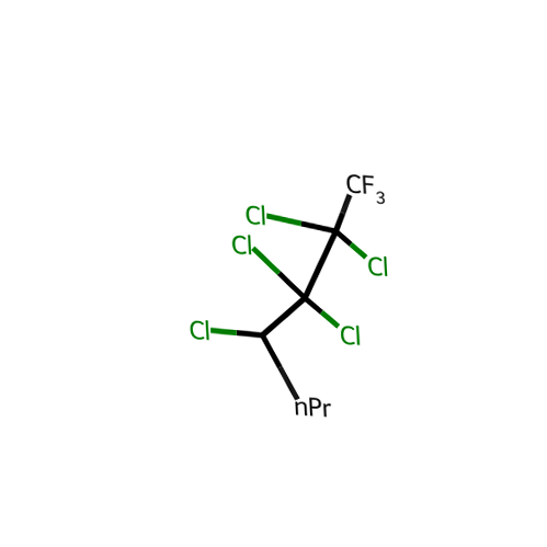 CCCC(Cl)C(Cl)(Cl)C(Cl)(Cl)C(F)(F)F